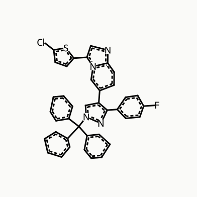 Fc1ccc(-c2nn(C(c3ccccc3)(c3ccccc3)c3ccccc3)cc2-c2ccc3ncc(-c4ccc(Cl)s4)n3c2)cc1